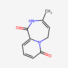 CC1=CCn2c(cccc2=O)C(=O)N1